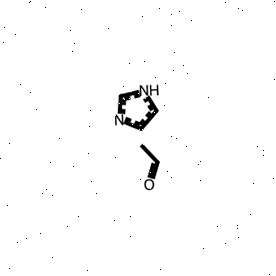 CC=O.c1c[nH]cn1